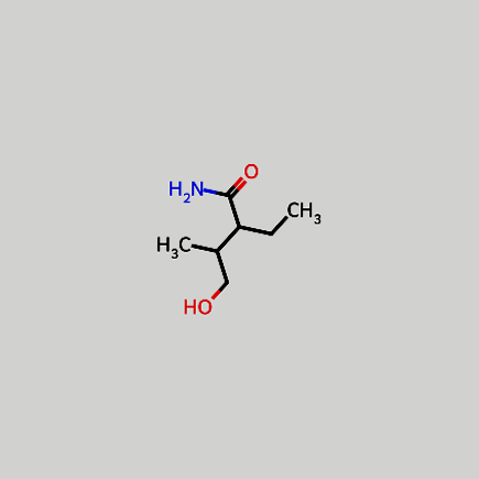 CCC(C(N)=O)C(C)CO